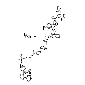 CN(CCN1CCC(N(C(=O)O)c2ccccc2-c2ccccc2)CC1)C(=O)CCCCCN(C)c1cccc(C(=O)N(C)CCCN(C)C(=O)CO[C@H]2Cc3ccccc3C23CCN(CC[C@@]2(c4ccc(F)cc4)CN(C(=O)c4cc(C(F)(F)F)cc(C(F)(F)F)c4)CO2)CC3)c1.Cl.Cl.Cl